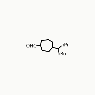 CCCCC(CCC)C1CCCC(C=O)CC1